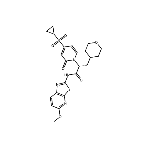 COc1ccc2nc(NC(=O)[C@@H](CC3CCOCC3)n3ccc(S(=O)(=O)C4CC4)cc3=O)sc2n1